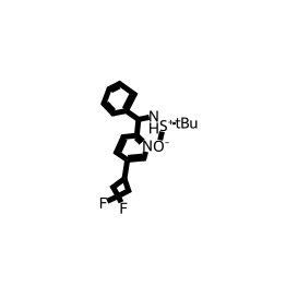 CC(C)(C)[S@+]([O-])NC(c1ccccc1)c1ccc(C2CC(F)(F)C2)cn1